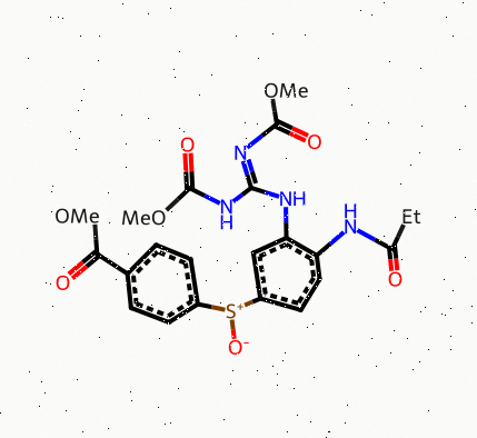 CCC(=O)Nc1ccc([S+]([O-])c2ccc(C(=O)OC)cc2)cc1NC(=NC(=O)OC)NC(=O)OC